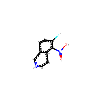 O=[N+]([O-])c1c(F)ccc2cnccc12